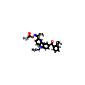 CCn1c2ccc(C(=O)c3ccccc3C)cc2c2cc(/C(C)=N\OC(C)=O)ccc21